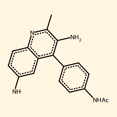 CC(=O)Nc1ccc(-c2c(N)c(C)nc3ccc([NH])cc23)cc1